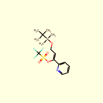 CC(C)(C)[Si](C)(C)OCC=C(OS(=O)(=O)C(F)(F)F)c1ccccn1